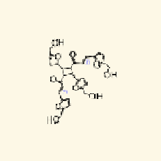 O=C(/C=C/c1ccc(CO)o1)C1C(c2ccc(CO)o2)C(C(=O)/C=C/c2ccc(CO)o2)C1c1ccc(CO)o1